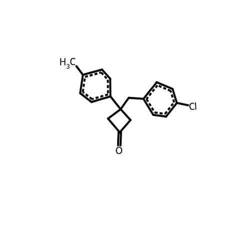 Cc1ccc(C2(Cc3ccc(Cl)cc3)CC(=O)C2)cc1